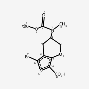 CN(C(=O)OC(C)(C)C)C1COc2c(C(=O)O)sc(Br)c2C1